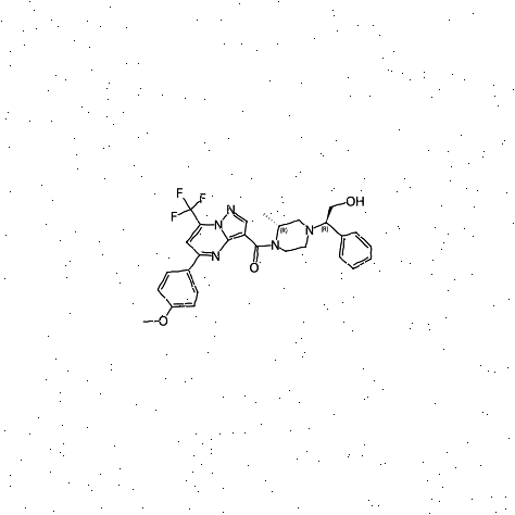 COc1ccc(-c2cc(C(F)(F)F)n3ncc(C(=O)N4CCN([C@@H](CO)c5ccccc5)C[C@H]4C)c3n2)cc1